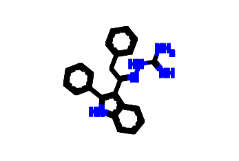 N=C(N)NN=C(Cc1ccccc1)c1c(-c2ccccc2)[nH]c2ccccc12